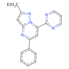 CCOC(=O)c1cc2nc(-c3ccccc3)cc(-c3ncccn3)n2n1